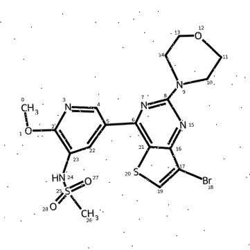 COc1ncc(-c2nc(N3CCOCC3)nc3c(Br)csc23)cc1NS(C)(=O)=O